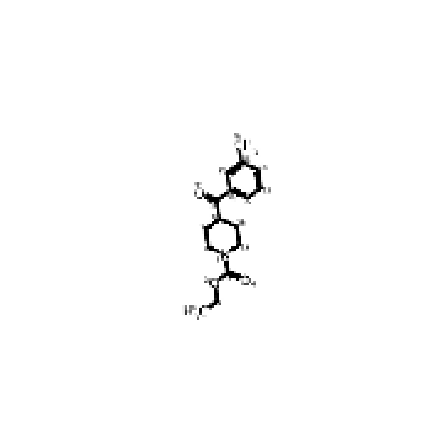 CCOC(=O)N1CCC(C(=O)c2cccc(C)c2)CC1